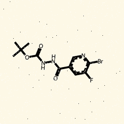 CC(C)(C)OC(=O)NNC(=O)c1cnc(Br)c(F)c1